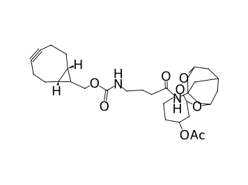 CC(=O)OC1CCC[C@]2(C1)OOC1CC3CC(CC(NC(=O)CCCNC(=O)OCC4[C@H]5CCC#CCC[C@@H]45)(C3)C1)O2